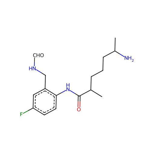 CC(N)CCCC(C)C(=O)Nc1ccc(F)cc1CNC=O